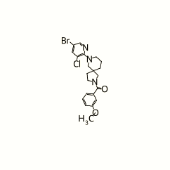 COc1cccc(C(=O)N2CCC3(CCCN(c4ncc(Br)cc4Cl)C3)C2)c1